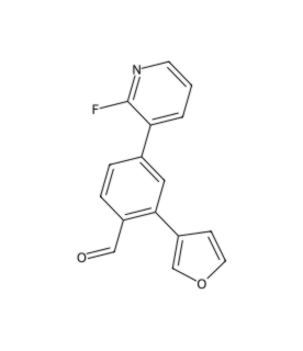 O=Cc1ccc(-c2cccnc2F)cc1-c1ccoc1